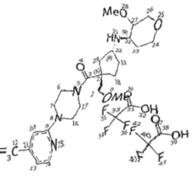 COC[C@]1(C(=O)N2CCN(c3cc(C(F)(F)F)ccn3)CC2)CC[C@@H](N[C@@H]2CCOCC2OC)C1.O=C(O)C(F)(F)F.O=C(O)C(F)(F)F